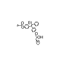 CCC(=C(c1ccc(OCC(O)CN2CCCC2)cc1)c1ccc(OC(=O)C2CC2)cc1)c1ccccc1